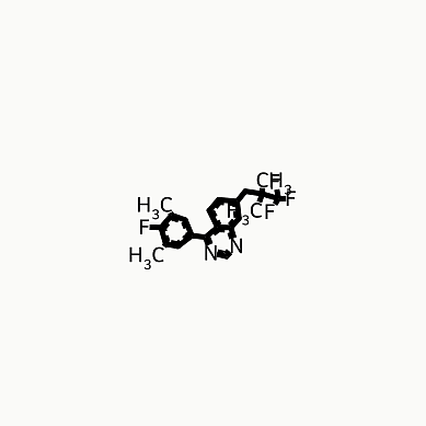 Cc1cc(-c2ncnc3cc(CC(C)(C)C(F)(F)F)ccc23)cc(C)c1F